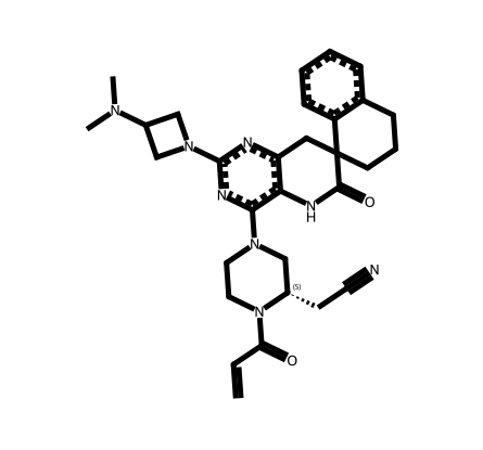 C=CC(=O)N1CCN(c2nc(N3CC(N(C)C)C3)nc3c2NC(=O)C2(CCCc4ccccc42)C3)C[C@@H]1CC#N